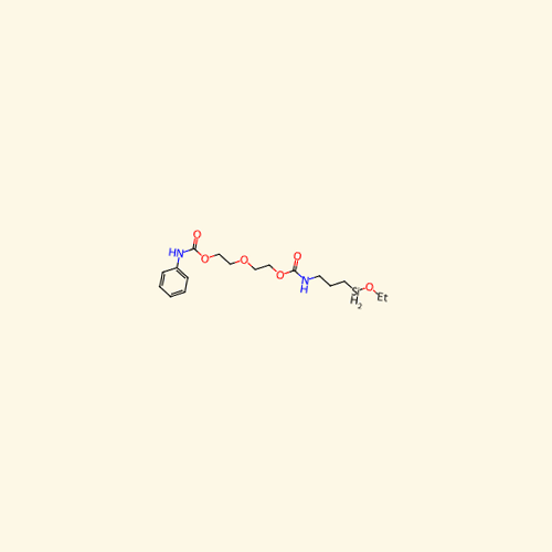 CCO[SiH2]CCCNC(=O)OCCOCCOC(=O)Nc1ccccc1